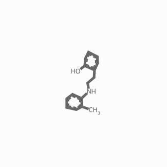 Cc1ccccc1NCCc1ccccc1O